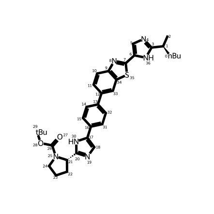 CCCC[C@H](C)c1ncc(-c2nc3ccc(-c4ccc(-c5cnc([C@@H]6CCCN6C(=O)OC(C)(C)C)[nH]5)cc4)cc3s2)[nH]1